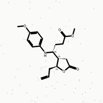 C=CC[C@@H]1OC(=O)C[C@H]1[C@@H](CCC(=O)OC)Nc1ccc(OC)cc1